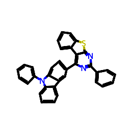 c1ccc(-c2nc(-c3ccc4c(c3)c3ccccc3n4-c3ccccc3)c3c(n2)sc2ccccc23)cc1